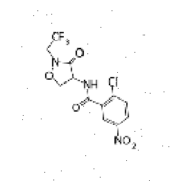 O=C(NC1CON(CC(F)(F)F)C1=O)c1cc([N+](=O)[O-])ccc1Cl